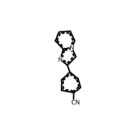 N#Cc1ccc(-c2cn3ccccc3n2)cc1